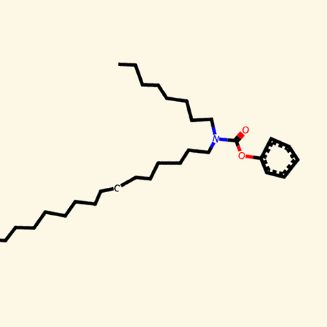 CCCCCCCCCCCCCCCCCCN(CCCCCCCC)C(=O)Oc1ccccc1